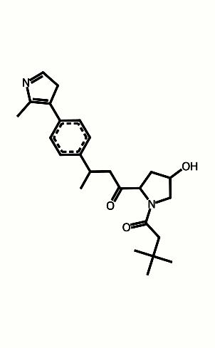 CC1=C(c2ccc(C(C)CC(=O)C3CC(O)CN3C(=O)CC(C)(C)C)cc2)CC=N1